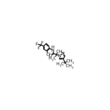 CC(C)(C)c1cnn(C(C)(C)C(=O)Nc2ccc(C(F)(F)F)cc2Cl)c1